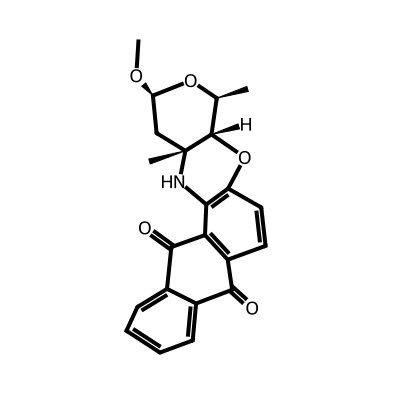 CO[C@@H]1C[C@@]2(C)Nc3c(ccc4c3C(=O)c3ccccc3C4=O)O[C@H]2[C@H](C)O1